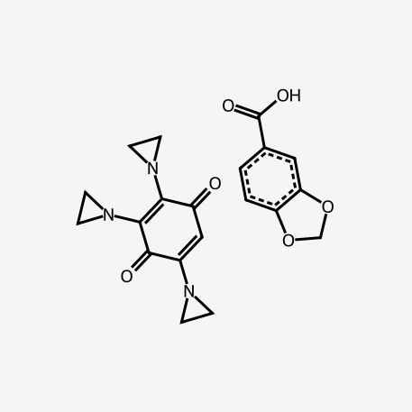 O=C(O)c1ccc2c(c1)OCO2.O=C1C=C(N2CC2)C(=O)C(N2CC2)=C1N1CC1